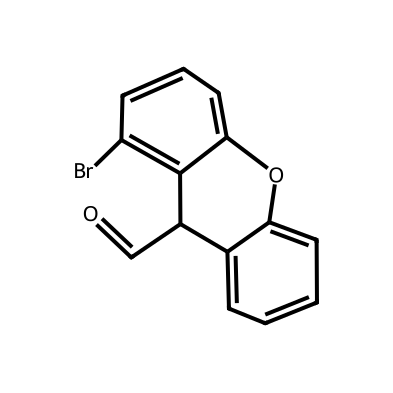 O=CC1c2ccccc2Oc2cccc(Br)c21